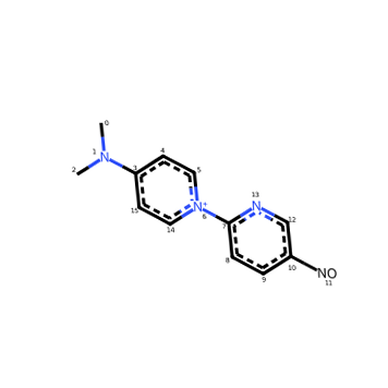 CN(C)c1cc[n+](-c2ccc(N=O)cn2)cc1